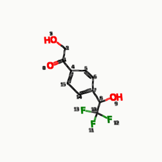 O=C(CO)c1ccc(C(O)C(F)(F)F)cc1